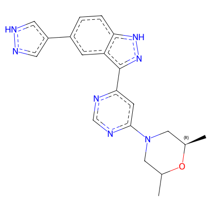 CC1CN(c2cc(-c3n[nH]c4ccc(-c5cn[nH]c5)cc34)ncn2)C[C@@H](C)O1